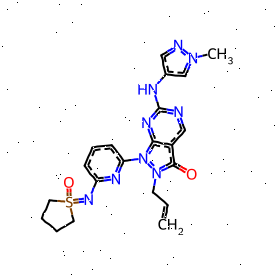 C=CCn1c(=O)c2cnc(Nc3cnn(C)c3)nc2n1-c1cccc(N=S2(=O)CCCC2)n1